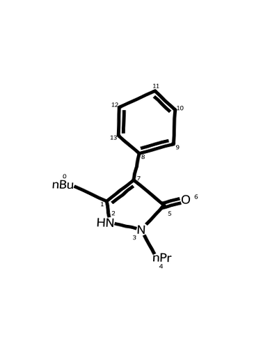 CCCCc1[nH]n(CCC)c(=O)c1-c1ccccc1